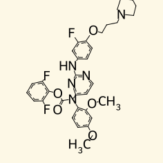 COc1ccc(N(C(=O)Oc2c(F)cccc2F)c2ccnc(Nc3ccc(OCCCN4CCCCC4)c(F)c3)n2)c(OC)c1